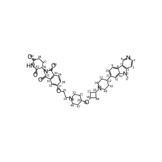 Cn1c2ccncc2c2ccc(C3CCN(C4CC(OC5CCN(CCOc6ccc7c(c6)C(=O)N(C6CCC(=O)NC6=O)C7=O)CC5)C4)CC3)cc21